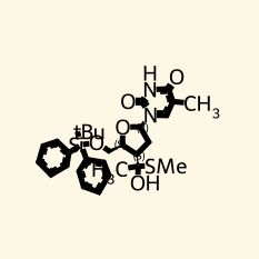 CSC(C)(O)[C@H]1C[C@H](n2cc(C)c(=O)[nH]c2=O)O[C@@H]1CO[Si](c1ccccc1)(c1ccccc1)C(C)(C)C